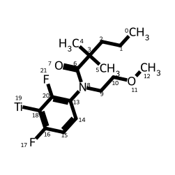 CCCC(C)(C)C(=O)N(CCOC)c1ccc(F)[c]([Ti])c1F